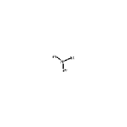 [CH2][CH2][Al]([CH](C)C)[CH](C)C